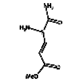 COC(=O)/C=C/N(N)C(N)=O